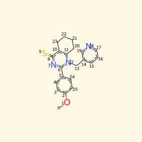 COc1ccc(-c2nc(=S)c3c(n2Cc2cccnc2)CCCC3)cc1